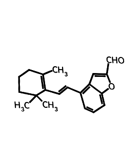 CC1=C(C=Cc2cccc3oc(C=O)cc23)C(C)(C)CCC1